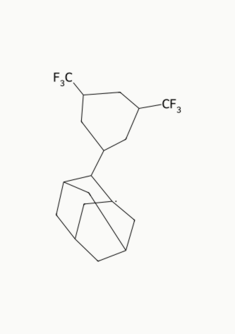 FC(F)(F)C1CC(C2[C]3CC4CC(C3)CC2C4)CC(C(F)(F)F)C1